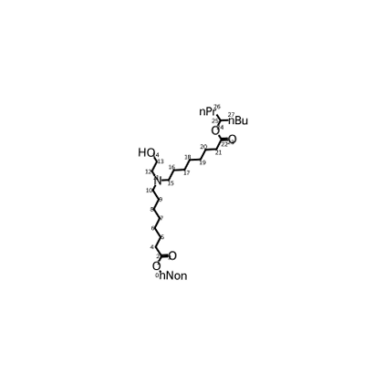 CCCCCCCCCOC(=O)CCCCCCCN(CCO)CCCCCCCC(=O)OC(CCC)CCCC